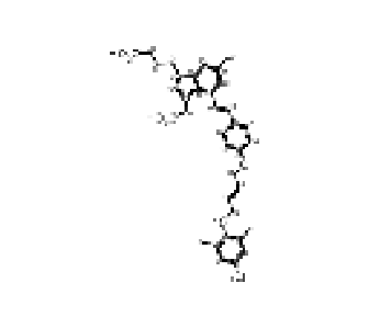 Cc1cc(Cl)cc(C)c1OC/C=C/COc1ccc(/C=C/c2cc(F)cc3c(CCCC(=O)O)cn(CC(=O)O)c23)cc1